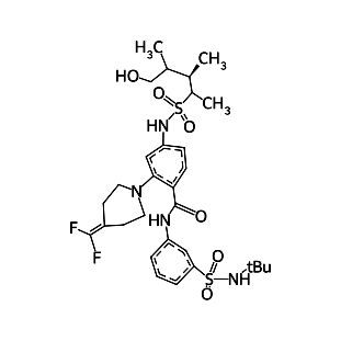 CC(CO)[C@@H](C)C(C)S(=O)(=O)Nc1ccc(C(=O)Nc2cccc(S(=O)(=O)NC(C)(C)C)c2)c(N2CCC(=C(F)F)CC2)c1